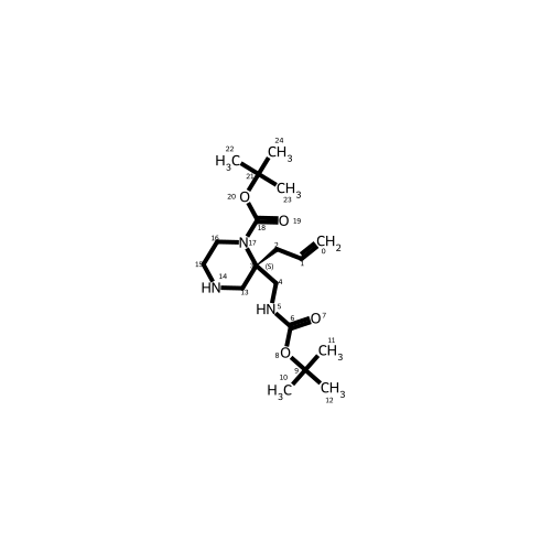 C=CC[C@@]1(CNC(=O)OC(C)(C)C)CNCCN1C(=O)OC(C)(C)C